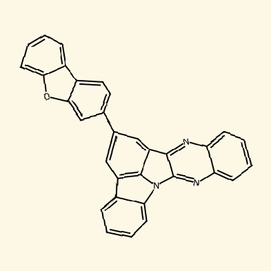 c1ccc2nc3c(nc2c1)c1cc(-c2ccc4c(c2)oc2ccccc24)cc2c4ccccc4n3c21